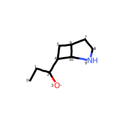 CCC([O])C1CC2CCNC21